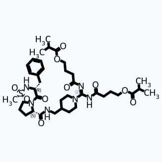 CC(C)C(=O)OCCCC(=O)/N=C(/NC(=O)CCCOC(=O)C(C)C)N1CCC(CNC(=O)[C@@H]2CCCN2C(=O)[C@@H](Cc2ccccc2)NS(C)(=O)=O)CC1